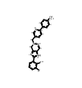 Fc1cccc(-c2nc3c([nH]2)C=NN(Cc2ccc(-c4ccc(C(F)(F)F)cc4)nc2)C3)c1F